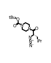 CC(C)C[C@H](N=[N+]=[N-])C(=O)N1CCN(C(=O)OC(C)(C)C)CC1